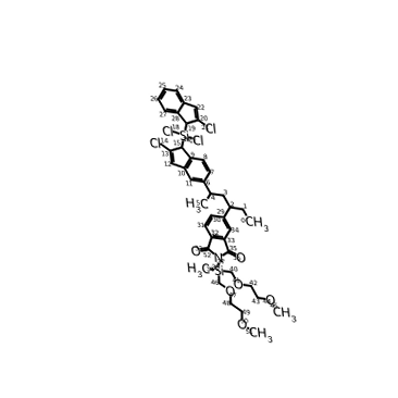 CCC(CC(C)c1ccc2c(c1)C=C(Cl)C2[Si](Cl)(Cl)C1C(Cl)=Cc2ccccc21)c1ccc2c(c1)C(=O)N([Si](C)(COCCOC)COCCOC)C2=O